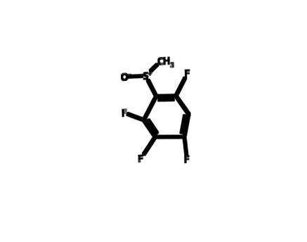 C[S+]([O-])c1c(F)cc(F)c(F)c1F